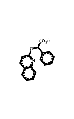 O=C(O)C(Oc1ccc2ccccc2n1)c1ccccc1